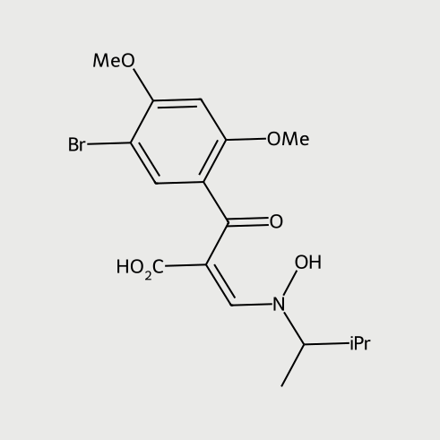 COc1cc(OC)c(C(=O)/C(=C\N(O)C(C)C(C)C)C(=O)O)cc1Br